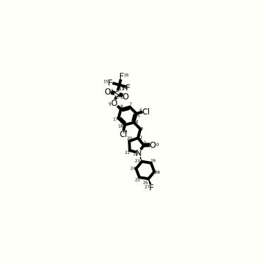 O=C1C(Cc2c(Cl)cc(OS(=O)(=O)C(F)(F)F)cc2Cl)CCN1[C@H]1CC[C@H](F)CC1